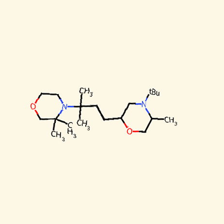 CC1COC(CCC(C)(C)N2CCOCC2(C)C)CN1C(C)(C)C